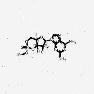 CC(C)O[P@]1(=S)OC[C@H]2O[C@@H](n3cnc4c(N)nc(N)nc43)[C@@](F)(Cl)[C@@H]2O1